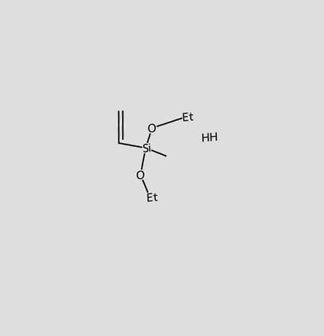 C=C[Si](C)(OCC)OCC.[HH]